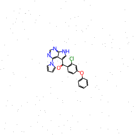 O=C(c1ccc(Oc2ccccc2)cc1Cl)c1c[nH]c2ncnc(-n3cccc3)c12